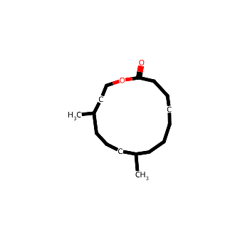 CC1CCCCCCC(=O)OCCC(C)CCC1